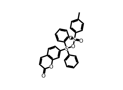 Cc1ccc(S(=O)(=O)OS(c2ccccc2)(c2ccccc2)c2ccc3ccc(=O)oc3c2)cc1